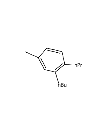 CCCCc1cc(C)ccc1CCC